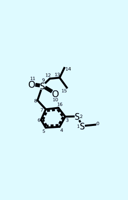 CSSc1cccc(CS(=O)(=O)CC(C)C)c1